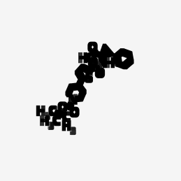 CC(C)(C)OC(=O)N1CC=C(c2ccc(S(=O)(=O)N[C@@]3(C(=O)O)C[C@@H]3c3ccccc3)s2)CC1